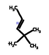 [CH2]C(C)(C)/C=C/C